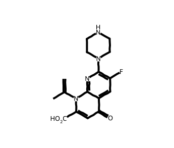 C=C(C)n1c(C(=O)O)cc(=O)c2cc(F)c(N3CCNCC3)nc21